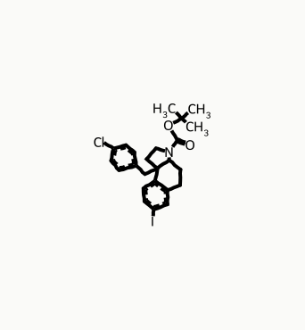 CC(C)(C)OC(=O)N1CCC2(Cc3ccc(Cl)cc3)c3ccc(I)cc3CCC12